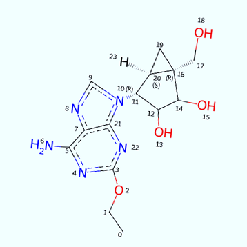 CCOc1nc(N)c2ncn([C@H]3C(O)C(O)[C@]4(CO)C[C@H]34)c2n1